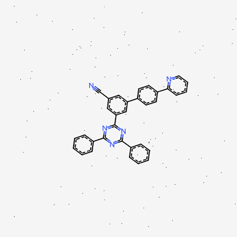 N#Cc1cc(-c2ccc(-c3ccccn3)cc2)cc(-c2nc(-c3ccccc3)nc(-c3ccccc3)n2)c1